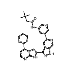 CC(C)(C)CC(=O)Nc1cncc(-c2cc3c(-c4cc5c(-c6ccccn6)ccnc5[nH]4)n[nH]c3cn2)c1